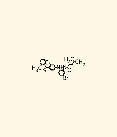 Cc1ccccc1C(=S)c1ccc(Nc2ccc(Br)cc2NC(=O)CCC(C)C)cc1Cl